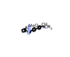 C/C=C(\C)c1ccc(-c2ccc(-c3cnc([C@@H]4C5CCC(C5)[C@H]4C(C)=O)[nH]3)cc2)c(OC)c1